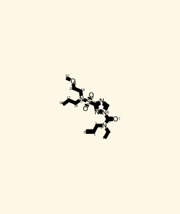 C=CCN(CC)C(=O)n1cnc(S(=O)(=O)N(CCC)CCOC)n1